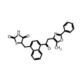 Cc1oc(-c2ccccc2)nc1CC(=O)c1ccc(CC2SC(=O)NC2=O)c2ccccc12